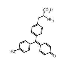 N[C@@H](Cc1ccc(C(=C2C=CC(=O)C=C2)c2ccc(O)cc2)cc1)C(=O)O